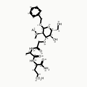 CC(=O)N(C)[C@H]1C(OCc2ccccc2)O[C@H](CO)[C@@H](O)[C@@H]1OCC(=O)NC(C)C(=O)NC(CCC(=O)O)C(N)=O